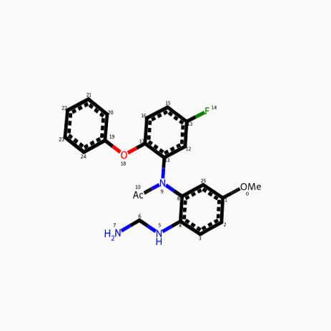 COc1ccc(NCN)c(N(C(C)=O)c2cc(F)ccc2Oc2ccccc2)c1